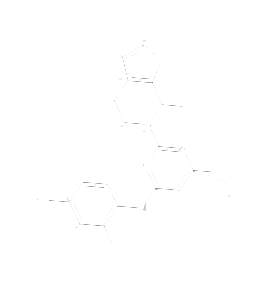 Cc1cc(Nc2ccc(F)cc2C)nc(N2CCc3ccsc3C2C)n1.Cl